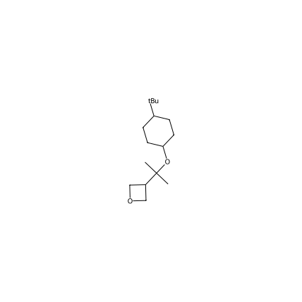 CC(C)(C)C1CCC(OC(C)(C)C2COC2)CC1